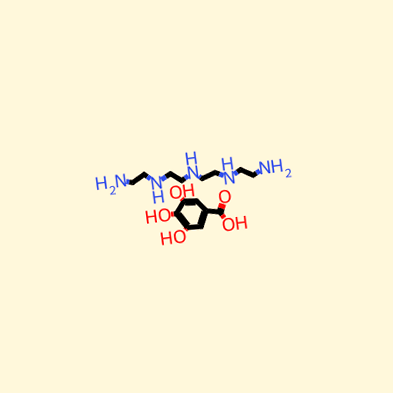 NCCNCCNCCNCCN.O=C(O)c1cc(O)c(O)c(O)c1